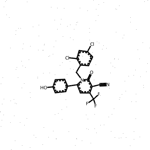 N#Cc1c(C(F)(F)F)cc(-c2ccc(O)cc2)n(Cc2ccc(Cl)cc2Cl)c1=O